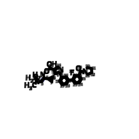 CN(N)/C=C(\N)C1C[C@H]1c1c(C(=O)O)cnn1-c1cccc(-c2cccc(C(=O)N3CCCC3)c2F)c1